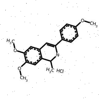 COc1ccc(C2=Cc3cc(OC)c(OC)cc3C(C)[N]2)cc1.Cl